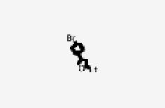 [CH2]Cc1cc(-c2ccc(Br)cc2)co1